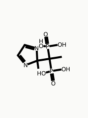 CC1(C(C)(P(=O)(O)O)P(=O)(O)O)N=CC=N1